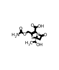 CC(O)[C@@]12CC(=O)N1C(C(=O)O)=C(COC(N)=O)S2